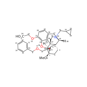 CO[C@]12CC[C@@]3(C[C@@H]1COCc1ccccc1)[C@H]1Cc4ccc(OCC(=O)O)c5c4[C@@]3(CCN1CC1CC1)[C@H]2O5